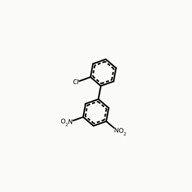 O=[N+]([O-])c1cc(-c2ccccc2Cl)cc([N+](=O)[O-])c1